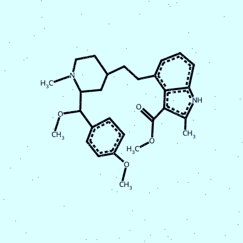 COC(=O)c1c(C)[nH]c2cccc(CCC3CCN(C)C(C(OC)c4ccc(OC)cc4)C3)c12